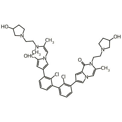 C/C(=C/n1cc(-c2cccc(-c3cccc(-c4cc5c(=O)n(CCN6CCC(O)C6)c(C)cn5c4)c3Cl)c2Cl)cc1C=O)N(C)CCN1CCC(O)C1